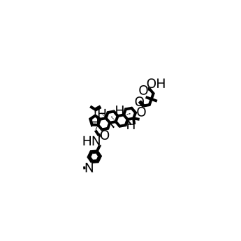 C=C(C)[C@@H]1CC[C@]2(CC(=O)NCc3ccc(N(C)C)cc3)CC[C@]3(C)[C@H](CC[C@@H]4[C@@]5(C)CC[C@H](OC(=O)CC(C)(C)CC(=O)O)C(C)(C)[C@@H]5CC[C@]43C)[C@@H]12